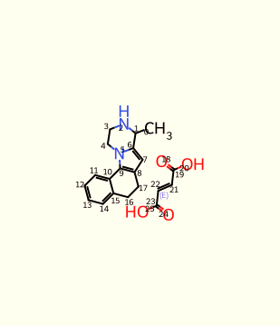 CC1NCCn2c1cc1c2-c2ccccc2CC1.O=C(O)/C=C/C(=O)O